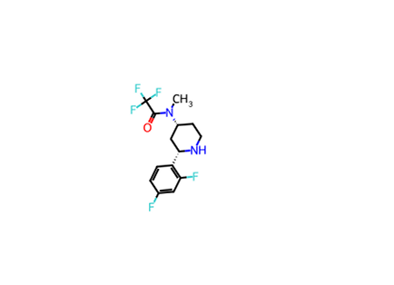 CN(C(=O)C(F)(F)F)[C@@H]1CCN[C@H](c2ccc(F)cc2F)C1